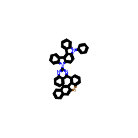 c1ccc(-n2c3ccccc3c3c4c5ccccc5n(-c5nc(-c6cccc7sc8cc9ccccc9cc8c67)c6ccccc6n5)c4ccc32)cc1